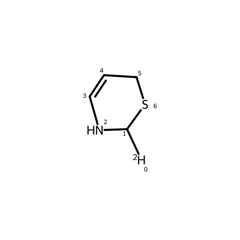 [2H]C1NC=CCS1